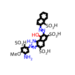 COc1cc(S(=O)(=O)O)c(N=Nc2c(S(=O)(=O)O)cc3cc(S(=O)(=O)O)c(N=Nc4ccc5ccccc5c4S(=O)(=O)O)c(O)c3c2N)cc1N